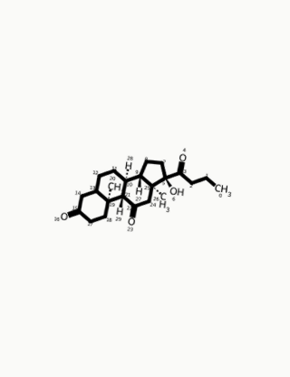 CCCC(=O)[C@@]1(O)CC[C@H]2[C@@H]3CCC4CC(=O)CC[C@]4(C)[C@H]3C(=O)C[C@@]21C